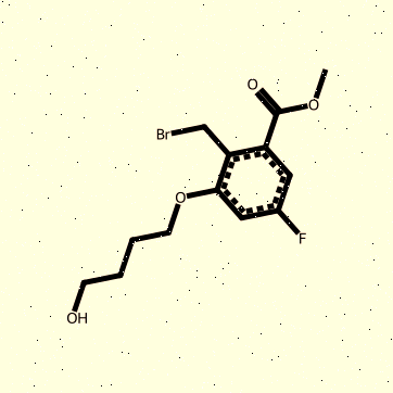 COC(=O)c1cc(F)cc(OCCCCO)c1CBr